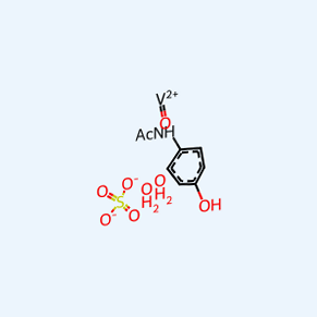 CC(=O)Nc1ccc(O)cc1.O.O.O=S(=O)([O-])[O-].[O]=[V+2]